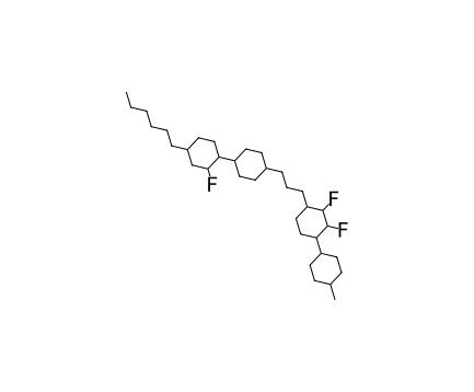 CCCCCCC1CCC(C2CCC(CCCC3CCC(C4CCC(C)CC4)C(F)C3F)CC2)C(F)C1